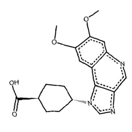 COc1cc2ncc3ncn([C@H]4CC[C@H](C(=O)O)CC4)c3c2cc1OC